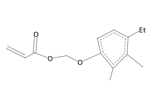 C=CC(=O)OCOc1ccc(CC)c(C)c1C